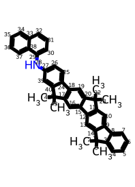 CC1(C)c2ccccc2-c2cc3c(cc21)-c1cc2c(cc1C3(C)C)-c1ccc(Nc3cccc4ccccc34)cc1C2(C)C